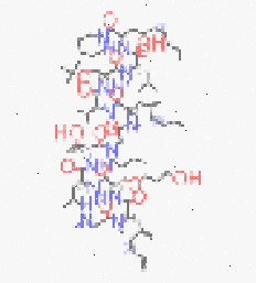 C=C/C=C\C(=C)C[C@@H](C(=O)N[C@@H](COCCCO)C(=O)N(C)[C@@H](CC(C)C)C(=O)NC(C(=O)N(CCCC)CC(=O)N(C)[C@@H](CC(=C)/C=C\C=C)C(=O)N(C)C(C(=O)N[C@@H](COC(C)(C)C)C(=O)N(C)[C@@H](CC(C)C)C(=O)NC(CC(O)/C=C\CCC)C(=O)N1CCCCC1)C(C)C)[C@@H](C)O)N(C)C(=O)CNC